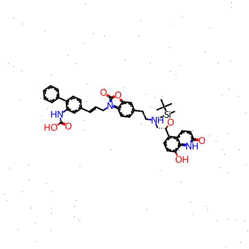 CC(C)(C)[Si](C)(C)O[C@@H](CNCCc1ccc2c(c1)oc(=O)n2C/C=C/c1ccc(-c2ccccc2)c(NC(=O)O)c1)c1ccc(O)c2[nH]c(=O)ccc12